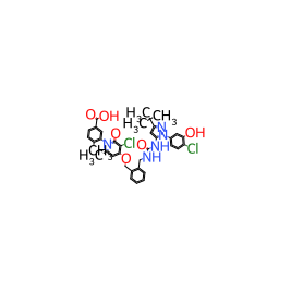 Cc1ccc(C(=O)O)cc1-n1c(C)cc(OCc2ccccc2CNC(=O)Nc2cc(C(C)(C)C)nn2-c2ccc(Cl)c(O)c2)c(Cl)c1=O